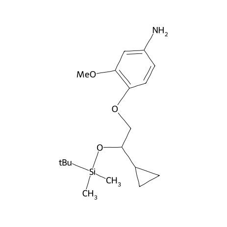 COc1cc(N)ccc1OCC(O[Si](C)(C)C(C)(C)C)C1CC1